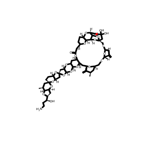 C=C1C[C@@H]2CC[C@]34CC(O)(O)C(O3)[C@@H]3O[C@H]5CC[C@H](CC(=O)O[C@@H]6CC7O[C@@H]8C[C@]9(C[C@@H]%10O[C@@]%11(CC[C@@H]%10O9)C[C@H](C)[C@@H]9O[C@H]([C@@H](O)CCN)C[C@@H]9O%11)O[C@@H]8O[C@@H]7O[C@H]6C[C@H]6O[C@@H](CC[C@@H]1O2)C[C@@H](C)C6=C)O[C@@H]5[C@H](O4)[C@@H]3I